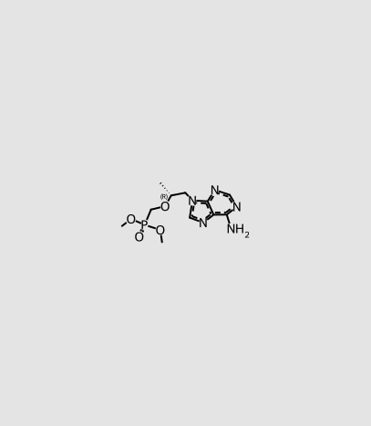 COP(=O)(CO[C@H](C)Cn1cnc2c(N)ncnc21)OC